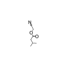 CC(C)CC(=O)OCC#N